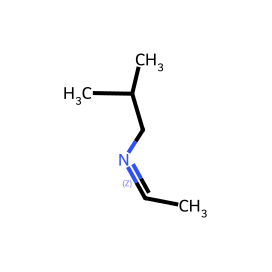 C/C=N\CC(C)C